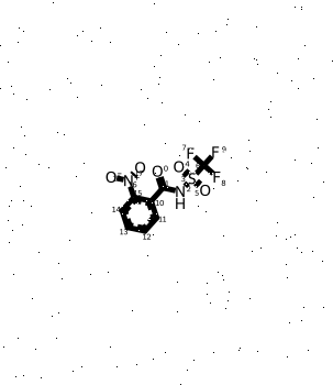 O=C(NS(=O)(=O)C(F)(F)F)c1ccccc1[N+](=O)[O-]